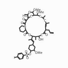 C=CCC1/C=C(\C)CC(C)CC(OC)C2CC(O)(C(=O)C(=O)N3CCCCC3C(=O)OC(C(C)=CC3CCC(OS(=O)(=O)c4ccc(I)cc4)C(OC)C3)C(C)C(O)CC1=O)C(C)OC2OC